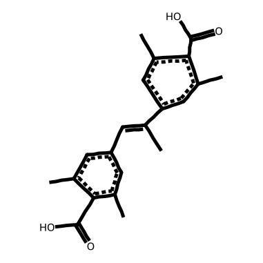 C/C(=C\c1cc(C)c(C(=O)O)c(C)c1)c1cc(C)c(C(=O)O)c(C)c1